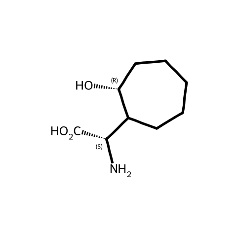 N[C@H](C(=O)O)C1CCCCC[C@H]1O